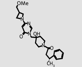 COCC1CN(c2cc(=O)n(CC3(O)CCN(C(=O)C[C@@H](C)c4ccccc4)CC3)cn2)C1